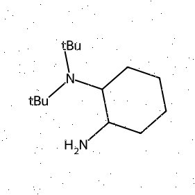 CC(C)(C)N(C1CCCCC1N)C(C)(C)C